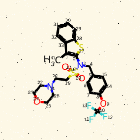 Cc1c(N(Cc2ccc(OC(F)(F)F)cc2)S(=O)(=O)CCN2CCOCC2)sc2ccccc12